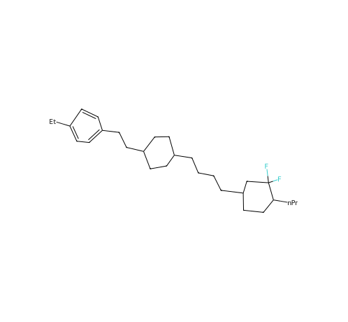 CCCC1CCC(CCCCC2CCC(CCc3ccc(CC)cc3)CC2)CC1(F)F